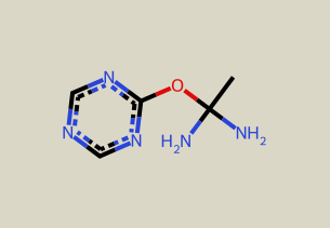 CC(N)(N)Oc1ncncn1